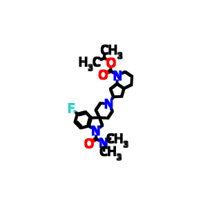 CC(C)OC(=O)N1CCCC2CC(N3CCC4(CC3)CN(C(=O)N(C)C)c3ccc(F)cc34)CC21